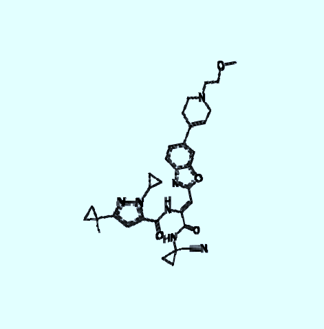 COCCN1CC=C(c2ccc3nc(C=C(NC(=O)c4cc(C5(C)CC5)nn4C4CC4)C(=O)NC4(C#N)CC4)oc3c2)CC1